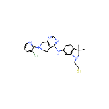 CC1(C)CN(CCS)c2cc(Nc3ncnc4c3CCN(c3ncccc3Cl)C4)ccc21